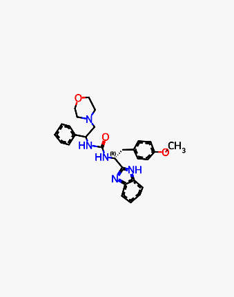 COc1ccc(C[C@@H](NC(=O)NC(CN2CCOCC2)c2ccccc2)c2nc3ccccc3[nH]2)cc1